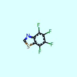 Fc1c(F)c(F)c2scnc2c1F